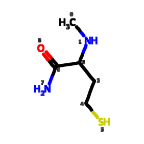 CNC(CCS)C(N)=O